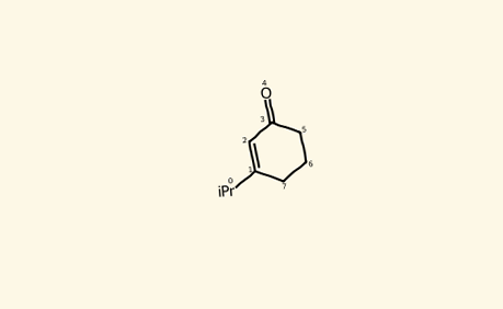 CC(C)C1=CC(=O)CCC1